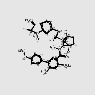 C=CC(C)(F)[S+]([O-])c1cccc(NC(=O)[C@H]2[C@@H]3CC[C@@H](C3)[C@H]2N(C)C(=O)c2cc(-c3ccc(OCCCC)cc3)c(C)cc2OC)c1